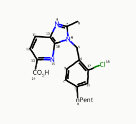 CCCCCc1ccc(Cn2c(C)nc3ccc(C(=O)O)nc32)c(Cl)c1